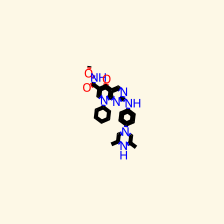 CONC(=O)c1cn(C2CCCCC2)c2nc(Nc3ccc(N4CC(C)NC(C)C4)cc3)ncc2c1=O